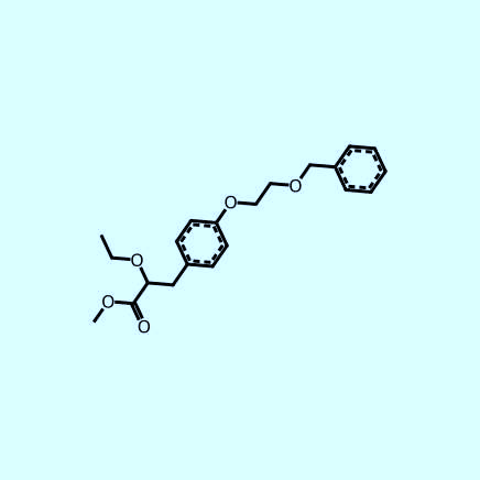 CCOC(Cc1ccc(OCCOCc2ccccc2)cc1)C(=O)OC